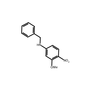 COc1cc(NCc2ccccc2)ccc1[N+](=O)[O-]